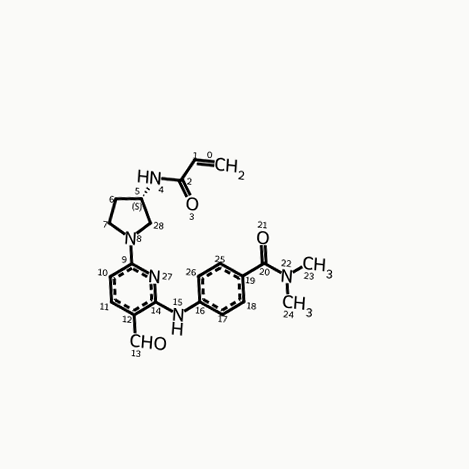 C=CC(=O)N[C@H]1CCN(c2ccc(C=O)c(Nc3ccc(C(=O)N(C)C)cc3)n2)C1